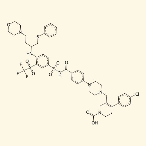 O=C(NS(=O)(=O)c1ccc(NC(CCN2CCOCC2)CSc2ccccc2)c(S(=O)(=O)C(F)(F)F)c1)c1ccc(N2CCN(CC3=C(c4ccc(Cl)cc4)CCN(C(=O)O)C3)CC2)cc1